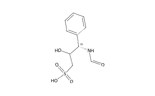 O=CN[C@@H](c1ccccc1)C(O)CS(=O)(=O)O